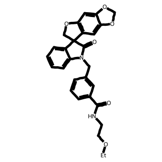 CCOCCNC(=O)c1cccc(CN2C(=O)C3(COc4cc5c(cc43)OCO5)c3ccccc32)c1